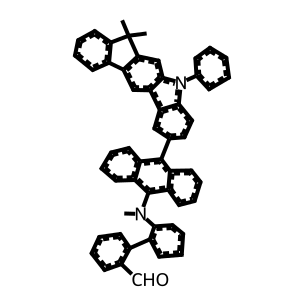 CN(c1ccccc1-c1ccccc1C=O)c1c2ccccc2c(-c2ccc3c(c2)c2cc4c(cc2n3-c2ccccc2)C(C)(C)c2ccccc2-4)c2ccccc12